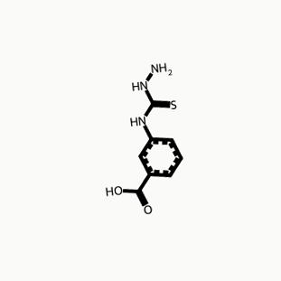 NNC(=S)Nc1cccc(C(=O)O)c1